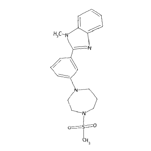 Cn1c(-c2cccc(N3CCCN(S(C)(=O)=O)CC3)c2)nc2ccccc21